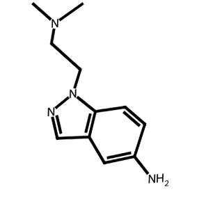 CN(C)CCn1ncc2cc(N)ccc21